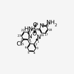 N#Cc1ccccc1-c1nc(NS(=O)(=O)c2cccc(N)n2)ccc1Cl